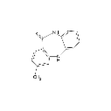 Cc1ccc2c(c1)Nc1ccccc1NC2=S